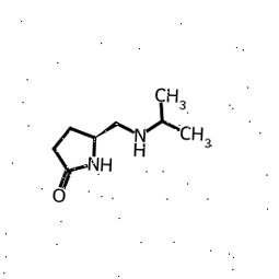 CC(C)NC[C@@H]1CCC(=O)N1